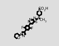 CN(c1nc2nnc(-c3cc(F)c(-c4cnn(C5CCCCO5)c4)cc3F)cc2s1)C1CCN(C(=O)O)CC1